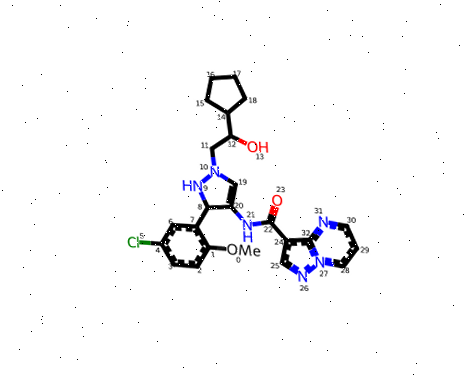 COc1ccc(Cl)cc1C1NN(CC(O)C2CCCC2)C=C1NC(=O)c1cnn2cccnc12